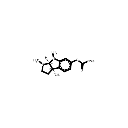 CNC(=O)Oc1ccc2c(c1)N(C)[C@@H]1N(C)CC[C@]21C